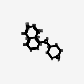 c1cc(OC2CCOCC2)c2ncncc2c1